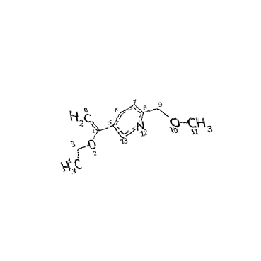 C=C(OCC)c1ccc(COC)nc1